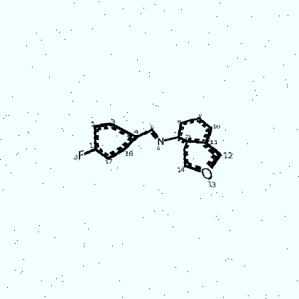 Fc1ccc(/C=N/c2cccc3cocc23)cc1